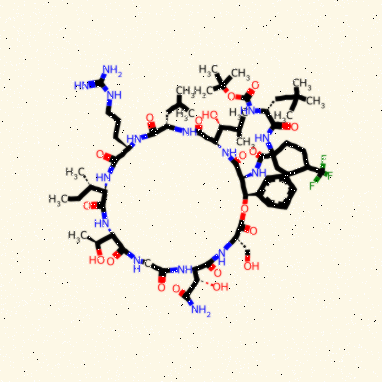 CC[C@H](C)[C@@H]1NC(=O)[C@@H](CCCNC(=N)N)NC(=O)[C@H](CC(C)C)NC(=O)[C@H]([C@H](O)C(C)C)NC(=O)[C@@H](NC(=O)C2(NC(=O)[C@@H](CC(C)(C)C)NC(=O)OC(C)(C)C)CCC(C(F)(F)F)CC2)[C@@H](c2ccccc2)OC(=O)[C@H](CO)NC(=O)[C@H]([C@H](O)C(N)=O)NC(=O)CNC(=O)[C@H]([C@H](C)O)NC1=O